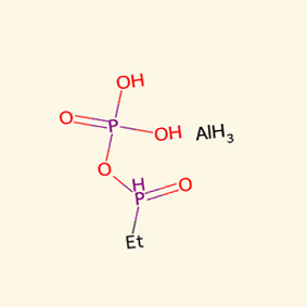 CC[PH](=O)OP(=O)(O)O.[AlH3]